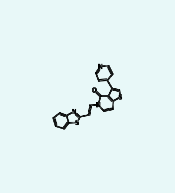 O=c1c2c(-c3ccncc3)csc2ccn1/C=C/c1nc2ccccc2s1